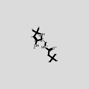 CC(C)(C)CC(=O)NC[C@H]1NC(C)(C)C=C1O